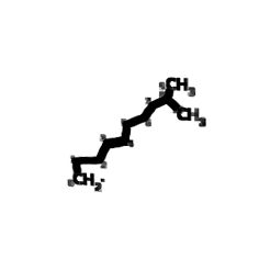 [CH2]CCC=CCCCC(C)C